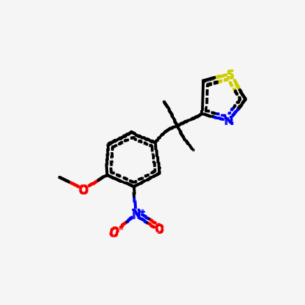 COc1ccc(C(C)(C)c2cscn2)cc1[N+](=O)[O-]